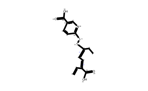 C=C/C(=C\C=C(/CC)SSc1ccc(C(=O)O)cn1)C(=O)O